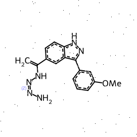 C=C(N/N=N\N)c1ccc2[nH]nc(-c3cccc(OC)c3)c2c1